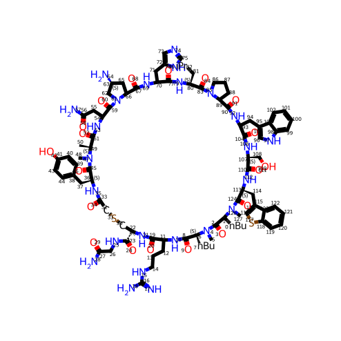 CCCCC1C(=O)N(C)[C@@H](CCCC)C(=O)NC(CCCNC(=N)N)C(=O)N[C@H](C(=O)NCC(N)=O)CSCC(=O)N[C@@H](Cc2ccc(O)cc2)C(=O)N(C)[C@@H](C)C(=O)NC(CC(N)=O)C(=O)N2C[C@@H](N)CC2C(=O)NC(Cc2cnc[nH]2)C(=O)N[C@@H](CC(C)C)C(=O)N2CCCC2C(=O)NC(Cc2c[nH]c3ccccc23)C(=O)N[C@@H](CO)C(=O)N[C@@H](Cc2csc3ccccc23)C(=O)N1C